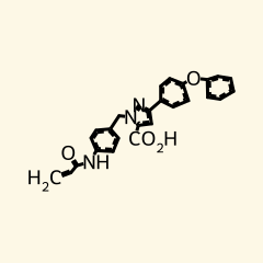 C=CC(=O)Nc1ccc(Cn2nc(-c3ccc(Oc4ccccc4)cc3)cc2C(=O)O)cc1